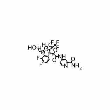 C[C@H]1[C@@H](c2ccc(F)c(F)c2OCCO)[C@H](C(=O)Nc2ccnc(C(N)=O)c2)O[C@@]1(C)C(F)(F)F